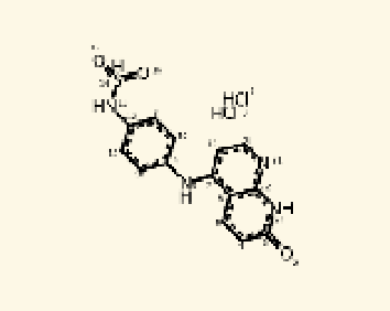 Cl.Cl.O=c1ccc2c(Nc3ccc(N[SH](=O)=O)cc3)ccnc2[nH]1